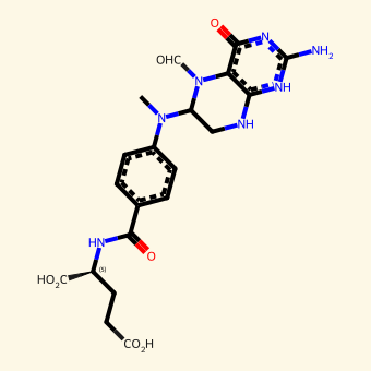 CN(c1ccc(C(=O)N[C@@H](CCC(=O)O)C(=O)O)cc1)C1CNc2[nH]c(N)nc(=O)c2N1C=O